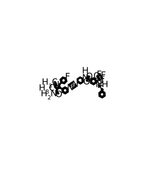 Cc1c(C(N)=O)c(-c2cccc(N3CCN(C4=CC=C(NS(=O)(=O)c5ccc(NCSc6ccccc6)c(S(=O)(=O)C(F)(F)F)c5)CC4)CC3)c2)c(-c2ccc(F)cc2)n1C